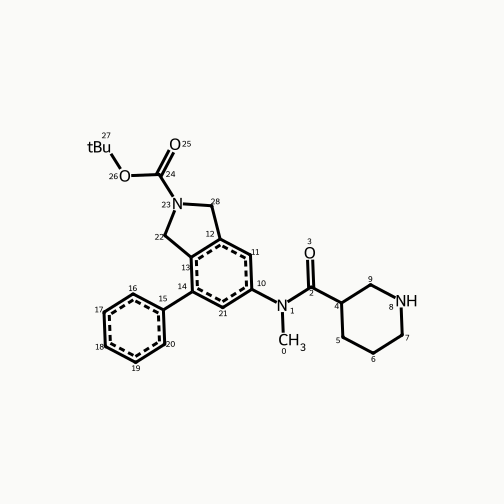 CN(C(=O)C1CCCNC1)c1cc2c(c(-c3ccccc3)c1)CN(C(=O)OC(C)(C)C)C2